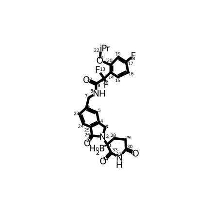 B[C@]1(N2Cc3cc(CNC(=O)C(F)(F)c4ccc(F)cc4OC(C)C)ccc3C2=O)CCC(=O)NC1=O